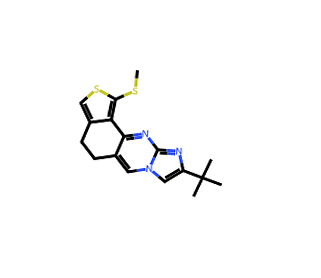 CSc1scc2c1-c1nc3nc(C(C)(C)C)cn3cc1CC2